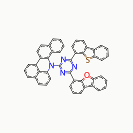 c1ccc2c3c(ccc2c1)-c1cccc2cccc(c12)N3c1nc(-c2cccc3c2oc2ccccc23)nc(-c2cccc3c2sc2ccccc23)n1